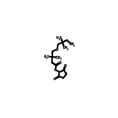 CC(C)(CN)COCC(C)(C)CC(=O)ON1C(=O)CCC1=O